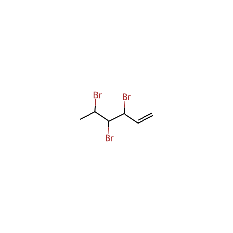 C=CC(Br)C(Br)C(C)Br